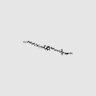 CC#CCNC(=O)NCCCCOCSSc1ccc(CC(=O)NCCOCCOCCOCCNC)cc1